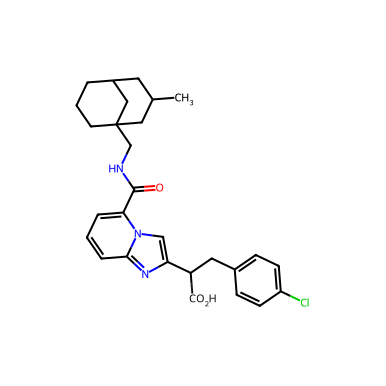 CC1CC2CCCC(CNC(=O)c3cccc4nc(C(Cc5ccc(Cl)cc5)C(=O)O)cn34)(C1)C2